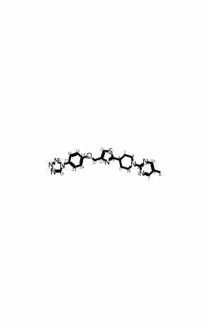 Cc1cnc(N2CCC(c3nc(COc4ccc(-n5cnnn5)cc4)cs3)CC2)nc1